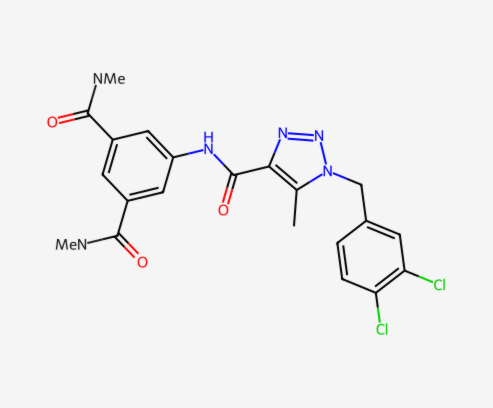 CNC(=O)c1cc(NC(=O)c2nnn(Cc3ccc(Cl)c(Cl)c3)c2C)cc(C(=O)NC)c1